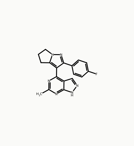 Cc1nc(-c2c(-c3ccc(F)cc3)nn3c2CCC3)c2cn[nH]c2n1